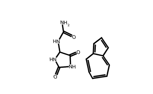 NC(=O)NC1NC(=O)NC1=O.c1ccc2cccc-2cc1